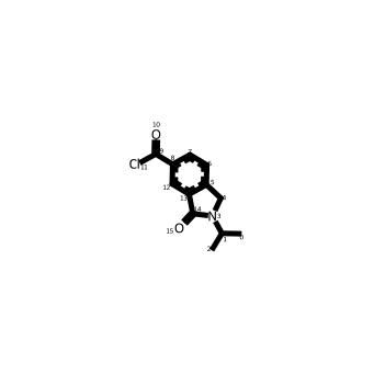 CC(C)N1Cc2ccc(C(=O)Cl)cc2C1=O